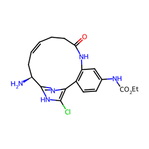 CCOC(=O)Nc1ccc2c(c1)NC(=O)CCC=CC[C@H](N)c1nc-2c(Cl)[nH]1